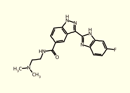 CN(C)CCNC(=O)c1ccc2[nH]nc(-c3nc4ccc(F)cc4[nH]3)c2c1